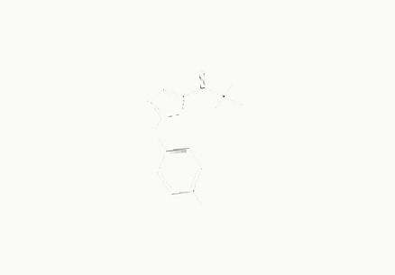 Cc1ccc(Sc2ncc(C(=O)C(F)(F)F)s2)cc1